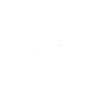 Cc1nc(C(=O)N[C@@H]2C[C@@H]3CCN(C3)C2)cc2ccoc12